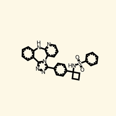 O=S(=O)(NC1(c2ccc(-c3nnc4n3-c3cccnc3Nc3ccccc3-4)cc2)CCC1)c1ccccc1